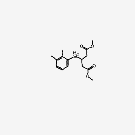 COC(=O)CC(CC(=O)OC)[SiH2]c1cccc(C)c1C